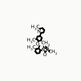 Cc1cccc(-c2cc(C)c(OCc3c(C)cccc3-n3nnn(C)c3=O)c(C)c2)n1